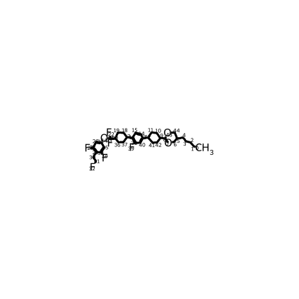 CCCCCC1COC(C2CCC(c3ccc(C4CCC(C(F)(F)Oc5cc(F)c(CCF)c(F)c5)CC4)c(F)c3)CC2)OC1